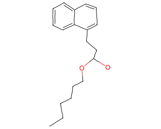 CCCCCCOC([O])CCc1cccc2ccccc12